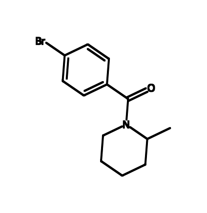 CC1CCCCN1C(=O)c1ccc(Br)cc1